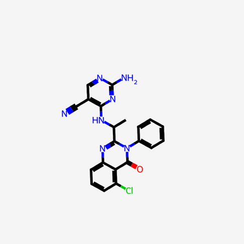 CC(Nc1nc(N)ncc1C#N)c1nc2cccc(Cl)c2c(=O)n1-c1ccccc1